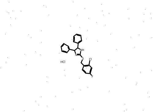 Cl.Fc1ccc(CSC2=NC(c3ccccc3)C(c3ccccc3)N2)c(Cl)c1